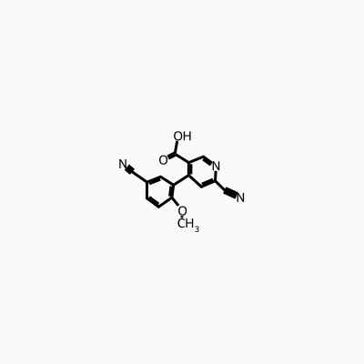 COc1ccc(C#N)cc1-c1cc(C#N)ncc1C(=O)O